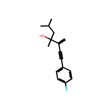 C=C(C#Cc1ccc(F)cc1)C(C)(O)CC(C)C